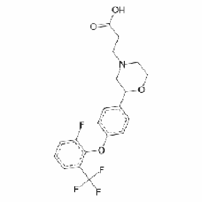 O=C(O)CCN1CCOC(c2ccc(Oc3c(F)cccc3C(F)(F)F)cc2)C1